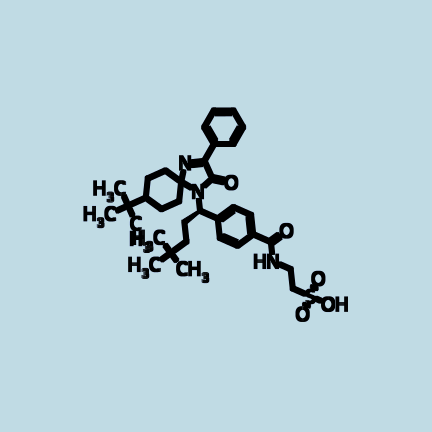 CC(C)(C)CC[C@H](c1ccc(C(=O)NCCS(=O)(=O)O)cc1)N1C(=O)C(c2ccccc2)=NC12CCC(C(C)(C)C)CC2